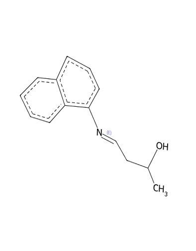 CC(O)C/C=N/c1cccc2ccccc12